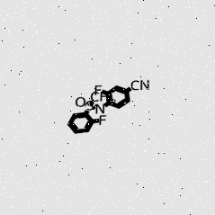 CS(=O)(=Nc1ccc(C#N)cc1F)c1ccccc1F